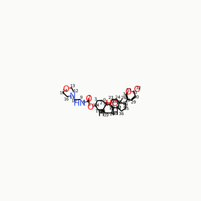 C[C@]12CC[C@H](OC(=O)NCCN3CCOCC3)C[C@H]1CC[C@@H]1C2CC[C@]2(C)[C@@H](c3ccc(=O)oc3)CC[C@]12O